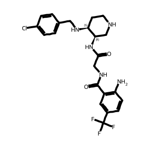 Nc1ccc(C(F)(F)F)cc1C(=O)NCC(=O)N[C@@H]1CNCC[C@@H]1NCc1ccc(Cl)cc1